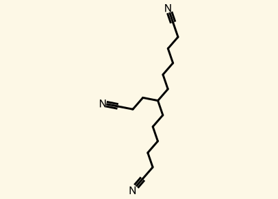 N#CCCCCCC(CCC#N)CCCCCC#N